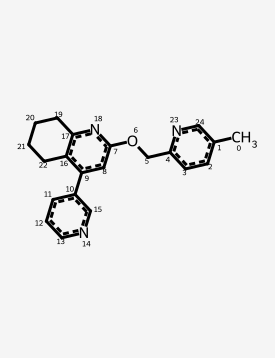 Cc1ccc(COc2cc(-c3cccnc3)c3c(n2)CCCC3)nc1